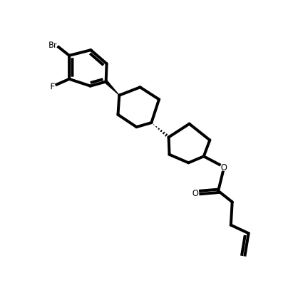 C=CCCC(=O)OC1CCC([C@H]2CC[C@H](c3ccc(Br)c(F)c3)CC2)CC1